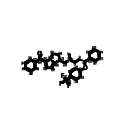 CN(CC[C@@H](Oc1ccc(C(F)(F)F)cc1)c1ccccc1)CC1CCn2c(C(=O)c3ccccc3)ccc21